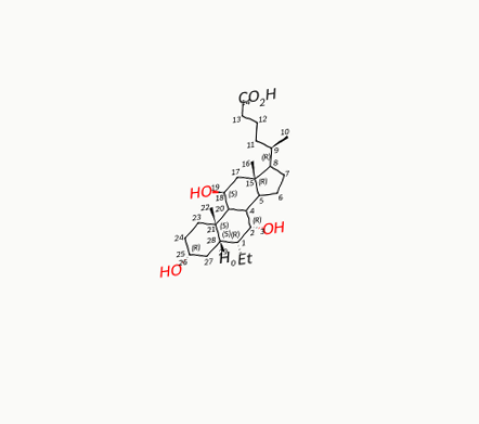 CC[C@H]1[C@@H](O)C2C3CCC([C@H](C)CCCC(=O)O)[C@@]3(C)C[C@H](O)C2[C@@]2(C)CC[C@@H](O)C[C@@H]12